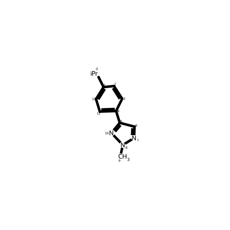 CC(C)c1ccc(-c2cnn(C)n2)cc1